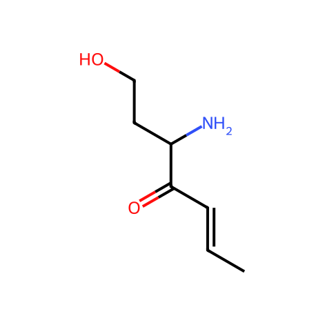 CC=CC(=O)C(N)CCO